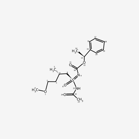 COCC[C@H](C)C[S@@](=O)(=NC(=O)O[C@@H](C)c1ccccc1)NC(C)=O